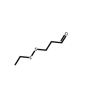 CCSSCCC=O